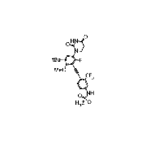 COc1c(C(C)(C)C)cc(N2CCC(=O)NC2=O)c(F)c1C#Cc1ccc(NS(C)(=O)=O)cc1C(F)(F)F